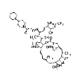 C/C=C/C(O)C(C)/C=C/C(=N/OCC(=O)N1CCC(N2CCCCC2)CC1)C(C)C(O)C(C)C1OC(=O)/C(OC)=C/C(C)=C/C(C)C(O)C(CC)C(O)C(C)C/C(C)=C/C=C/C1OC